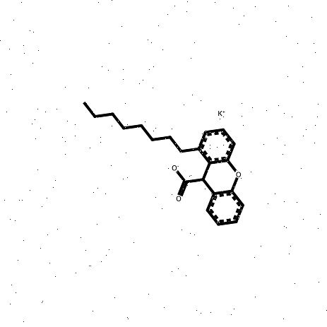 CCCCCCCCc1cccc2c1C(C(=O)[O-])c1ccccc1O2.[K+]